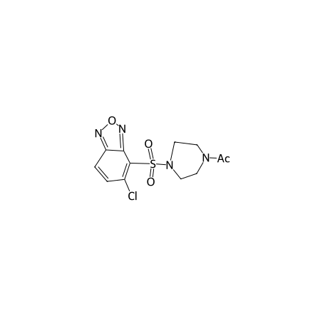 CC(=O)N1CCN(S(=O)(=O)c2c(Cl)ccc3nonc23)CC1